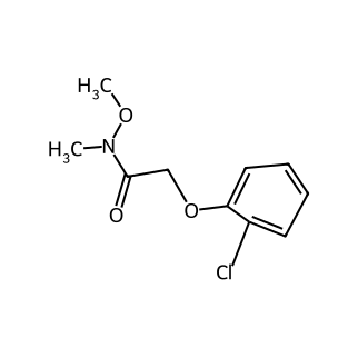 CON(C)C(=O)COc1ccccc1Cl